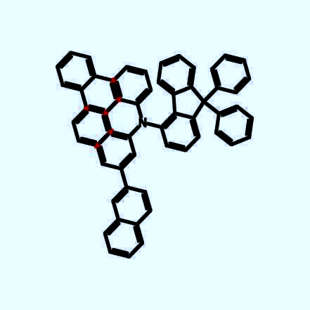 c1ccc(-c2ccccc2N(c2cc(-c3ccc4ccccc4c3)ccc2-c2ccc3ccccc3c2)c2cccc3c2-c2ccccc2C3(c2ccccc2)c2ccccc2)cc1